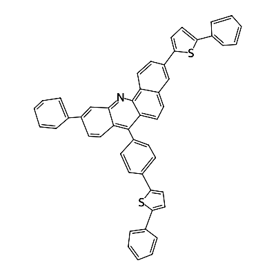 c1ccc(-c2ccc3c(-c4ccc(-c5ccc(-c6ccccc6)s5)cc4)c4ccc5cc(-c6ccc(-c7ccccc7)s6)ccc5c4nc3c2)cc1